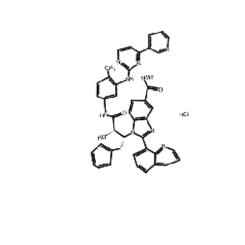 CNC(=O)c1ccc2c(c1)nc(-c1cccc3cccnc13)n2[C@H](Cc1ccccc1)[C@H](O)C(=O)Nc1ccc(C)c(Nc2nccc(-c3cccnc3)n2)c1.Cl